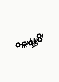 CC(C)C1CN(c2ccc(-c3ccccc3)nn2)CCN1C(=O)Nc1cccc2ncccc12